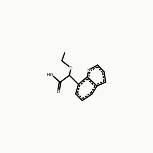 CCOC(C(=O)O)c1cccc2cccnc12